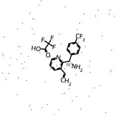 C=Cc1cccnc1[C@@H](N)c1ccc(C(F)(F)F)cc1.O=C(O)C(F)(F)F